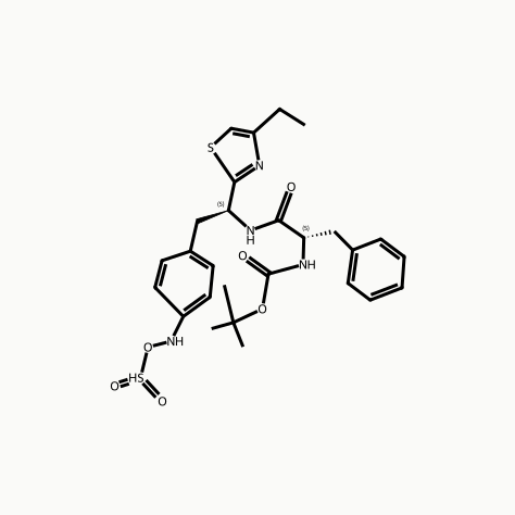 CCc1csc([C@H](Cc2ccc(NO[SH](=O)=O)cc2)NC(=O)[C@H](Cc2ccccc2)NC(=O)OC(C)(C)C)n1